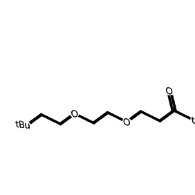 CC(C)(C)CCOCCOCCC(=O)C(C)(C)C